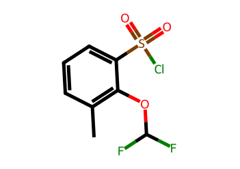 Cc1cccc(S(=O)(=O)Cl)c1OC(F)F